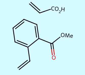 C=CC(=O)O.C=Cc1ccccc1C(=O)OC